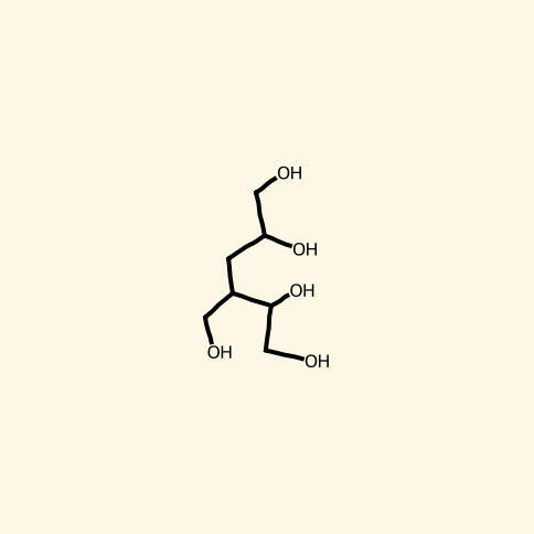 OCC(O)CC(CO)C(O)CO